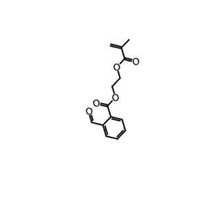 C=C(C)C(=O)OCCOC(=O)c1ccccc1C=O